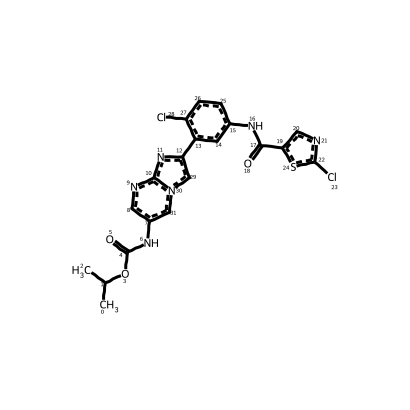 CC(C)OC(=O)Nc1cnc2nc(-c3cc(NC(=O)c4cnc(Cl)s4)ccc3Cl)cn2c1